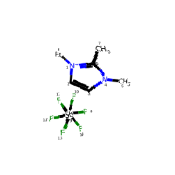 CC[n+]1ccn(C)c1C.[F][Sb-]([F])([F])([F])([F])[F]